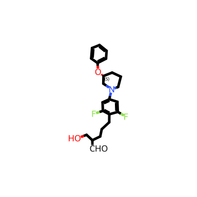 O=CC(CO)CCCc1c(F)cc(N2CCC[C@H](Oc3ccccc3)C2)cc1F